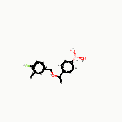 C=C(OCc1ccc(F)c(C)c1)c1ccc(B(O)O)cc1